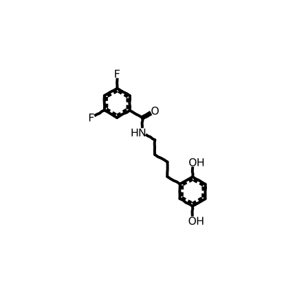 O=C(NCCCCc1cc(O)ccc1O)c1cc(F)cc(F)c1